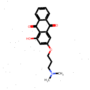 CN(C)CCCOc1cc(O)c2c(c1)C(=O)c1ccccc1C2=O